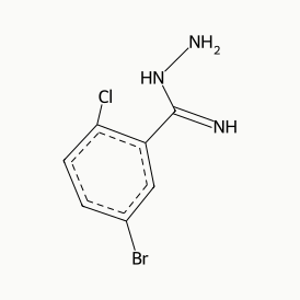 N=C(NN)c1cc(Br)ccc1Cl